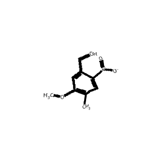 COc1cc(CO)c([N+](=O)[O-])cc1C